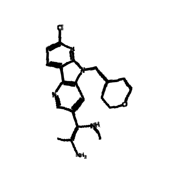 CN/C(=C(/C)N)c1cnc2c3ccc(Cl)nc3n(CC3CCOCC3)c2c1